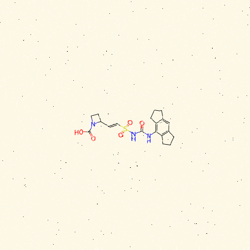 O=C(Nc1c2c(cc3c1CCC3)CCC2)NS(=O)(=O)/C=C/C1CCN1C(=O)O